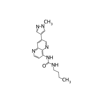 CCCCNC(=O)Nc1ccnc2cc(-c3cnn(C)c3)cnc12